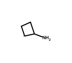 NC1[CH]CC1